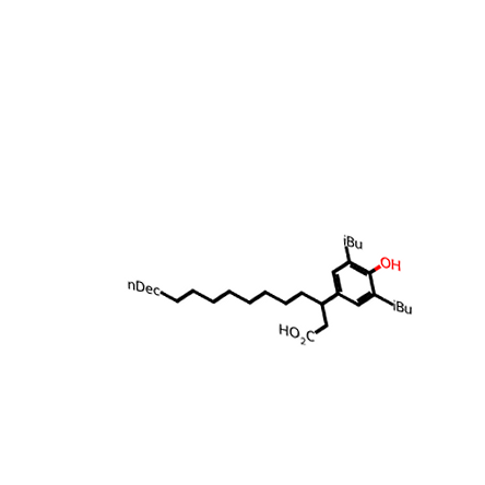 CCCCCCCCCCCCCCCCCCC(CC(=O)O)c1cc(C(C)CC)c(O)c(C(C)CC)c1